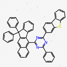 c1ccc(-c2nc(-c3ccc4c(c3)sc3ccccc34)nc(-c3c4c(cc5ccccc35)C(c3ccccc3)(c3ccccc3)c3ccccc3-4)n2)cc1